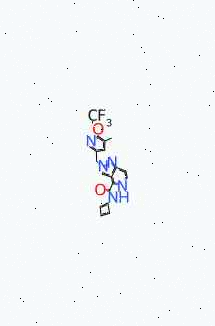 Cc1cc(Cn2cc3c(C(=O)NC4=CC=C4)nccc3n2)cnc1OCC(F)(F)F